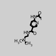 CN(C)CCNC(=O)c1ccc(NC(=O)I)nc1